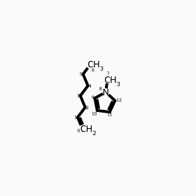 C=CCCCCC.Cn1cccc1